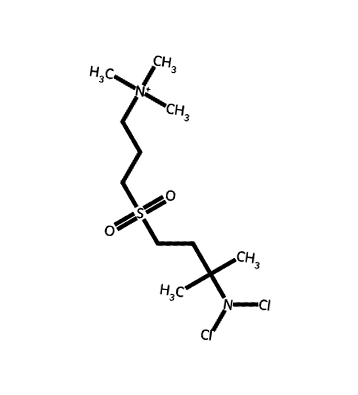 CC(C)(CCS(=O)(=O)CCC[N+](C)(C)C)N(Cl)Cl